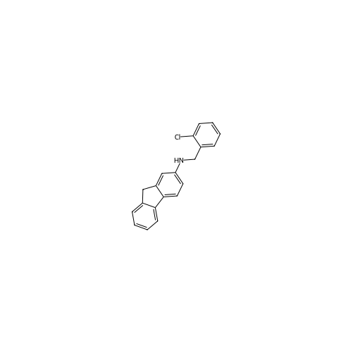 Clc1ccccc1CNc1ccc2c(c1)Cc1ccccc1-2